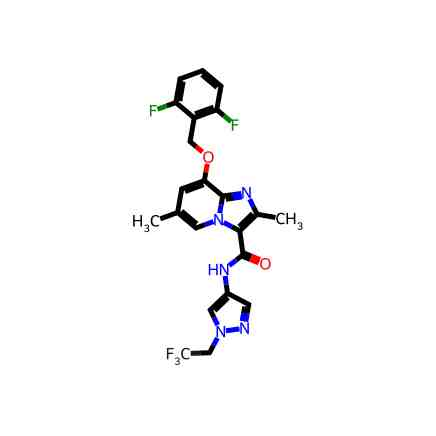 Cc1cc(OCc2c(F)cccc2F)c2nc(C)c(C(=O)Nc3cnn(CC(F)(F)F)c3)n2c1